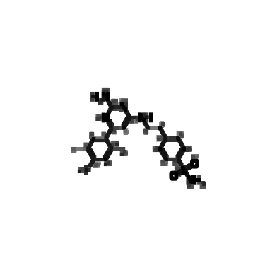 Cc1cc(-c2cc(NCCc3ccc(S(N)(=O)=O)cc3)nc(N)n2)c(C)cc1F